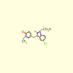 Cc1c(Cc2ccc(=O)n(CC(F)(F)F)c2)c2cc(Cl)ccc2n1CC(=O)O